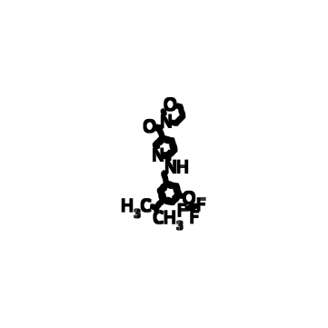 CC(C)c1cc(CNc2ccc(C(=O)N3CCCOC3)cn2)cc(OC(F)(F)F)c1